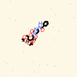 COC1C(n2ccc(NC(=O)c3ccccc3)nc2=O)OC2COC(C)(C)O[C@H]2C2OC(C)(C)O[C@H]12